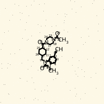 C#Cc1ccc2c(c1)n(CC1CCC(C(=O)N3CCN(C(C)=O)CC3)CC1)c(=O)n2C